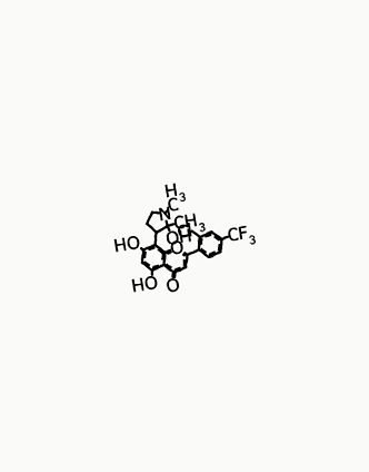 CN1CCC(c2c(O)cc(O)c3c(=O)cc(-c4ccc(C(F)(F)F)cc4Cl)oc23)C1(C)O